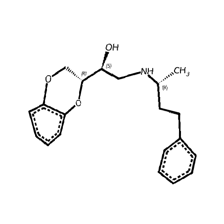 C[C@H](CCc1ccccc1)NC[C@H](O)[C@H]1COc2ccccc2O1